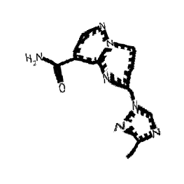 Cc1ncn(-c2ccn3ncc(C(N)=O)c3n2)n1